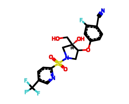 N#Cc1ccc(OC2CN(S(=O)(=O)c3ccc(C(F)(F)F)cn3)C[C@@]2(O)CO)cc1F